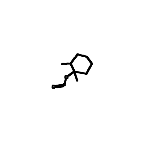 CC1CCCCC1(C)OP=O